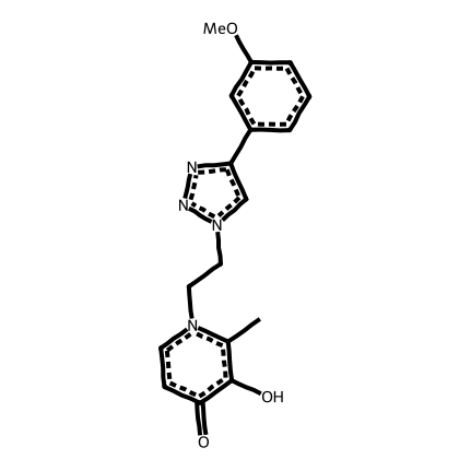 COc1cccc(-c2cn(CCn3ccc(=O)c(O)c3C)nn2)c1